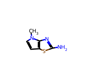 Cn1ccc2sc(N)nc21